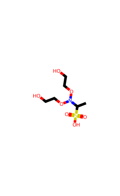 CC(N(OCCO)OCCO)S(=O)(=O)O